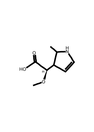 CO[C@@H](C(=O)O)C1C=CNC1C